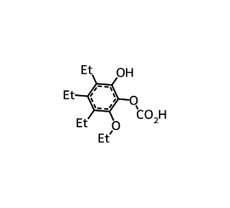 CCOc1c(CC)c(CC)c(CC)c(O)c1OC(=O)O